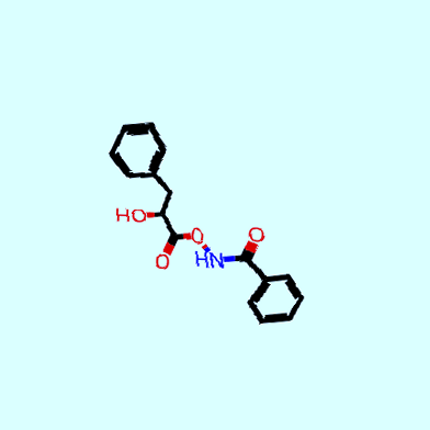 O=C(NOC(=O)C(O)Cc1ccccc1)c1ccccc1